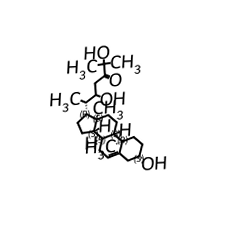 CC(C(O)CC(=O)C(C)(C)O)[C@H]1CC[C@H]2[C@@H]3CC=C4C[C@@H](O)CC[C@]4(C)[C@H]3CC[C@]12C